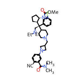 CCN(CC)C[C@@](c1cccc(F)c1)(C1CCN(CC2CN(c3ccc(C#N)c(C(=O)N(C)C)c3)C2)CC1)[C@H]1CCC[C@@H]1NC(=O)OC